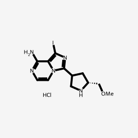 COC[C@H]1CC(c2nc(I)c3c(N)nccn23)CN1.Cl